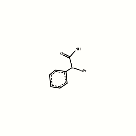 CCCN(C([NH])=O)c1ccccc1